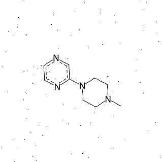 CN1CCN(c2cn[c]cn2)CC1